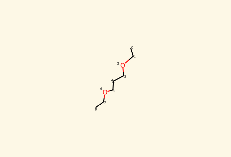 CCOC[C]COCC